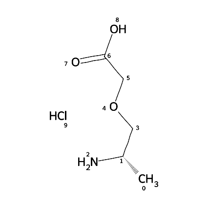 C[C@H](N)COCC(=O)O.Cl